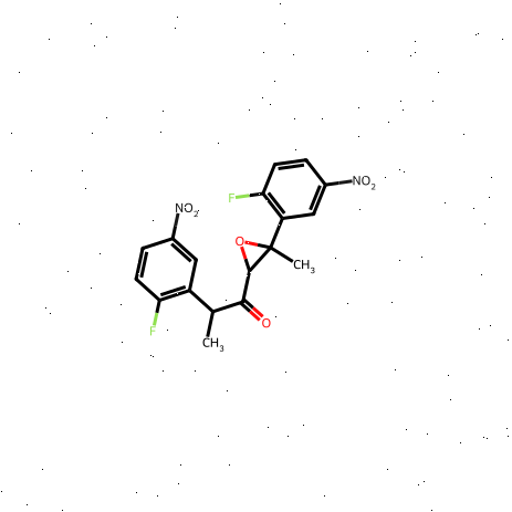 CC(C(=O)C1OC1(C)c1cc([N+](=O)[O-])ccc1F)c1cc([N+](=O)[O-])ccc1F